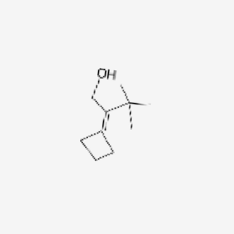 CC(C)(C)C(CO)=C1CCC1